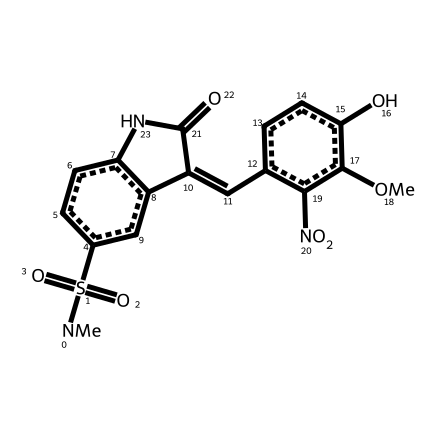 CNS(=O)(=O)c1ccc2c(c1)C(=Cc1ccc(O)c(OC)c1[N+](=O)[O-])C(=O)N2